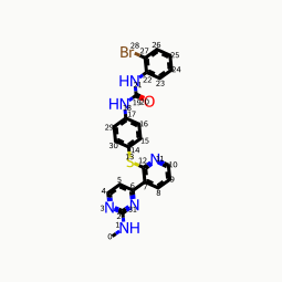 CNc1nccc(-c2cccnc2Sc2ccc(NC(=O)Nc3ccccc3Br)cc2)n1